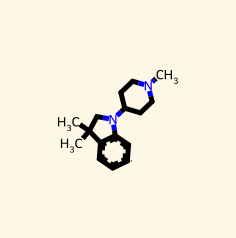 CN1CCC(N2CC(C)(C)c3cc[c]cc32)CC1